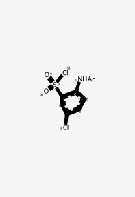 CC(=O)Nc1ccc(Cl)cc1S(=O)(=O)Cl